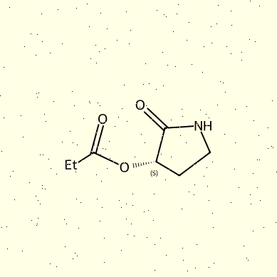 CCC(=O)O[C@H]1CCNC1=O